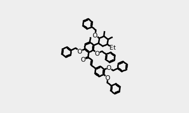 CCC1CC(c2c(C)cc(OCc3ccccc3)c(C(=O)/C=C/c3ccc(OCc4ccccc4)c(OCc4ccccc4)c3)c2OCc2ccccc2)C(OCc2ccccc2)C(C)C1C